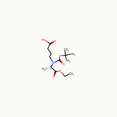 CCOC(=O)[C@H](C)N(CCCC(=O)O)C(=O)OC(C)(C)C